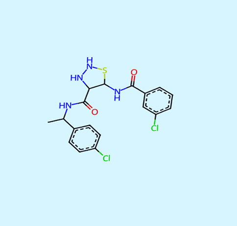 CC(NC(=O)C1NNSC1NC(=O)c1cccc(Cl)c1)c1ccc(Cl)cc1